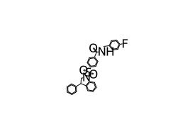 O=C(NCc1ccc(F)cc1)c1ccc(S(=O)(=O)N2CC(c3ccccc3)c3ccccc32)cc1